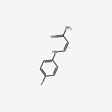 N=C(N)/C=C\Nc1ccc(F)cc1